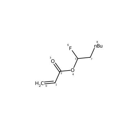 C=CC(=O)OC(F)CCCCC